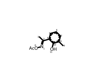 CC(=O)ON=C(C)c1cccc(C)c1O